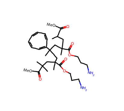 COC(=O)C(C)CC(C)(CC(C)(CC(C)(CC(C)(C)C(=O)OC)C(=O)OCCCN)C1=C/C=C\C=C/C=C\1)C(=O)OCCCN